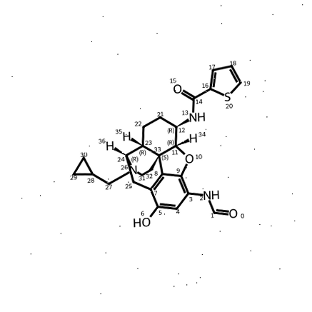 O=CNc1cc(O)c2c3c1O[C@H]1[C@H](NC(=O)c4cccs4)CC[C@H]4[C@@H](C2)N(CC2CC2)CC[C@@]341